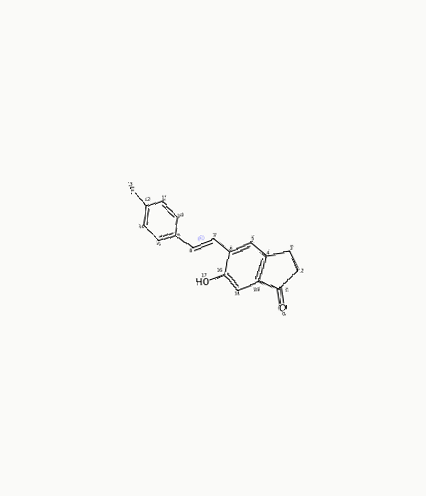 O=C1CCc2cc(/C=C/c3ccc(F)cc3)c(O)cc21